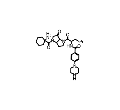 CC(C)CC(NC(=O)c1ccc(N2CCNCC2)cc1)C(=O)N1CCC2C1C(=O)CN2C(=O)C1(N)CCCCC1